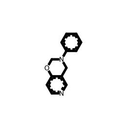 c1ccc(N2COc3ccncc3C2)cc1